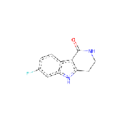 O=C1NCCc2[nH]c3cc(F)ccc3c21